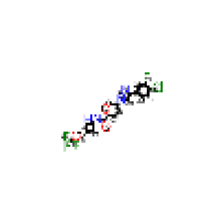 O=C(N[C@H]1C[C@@H](COC(F)(F)F)C1)[C@@H]1CC[C@@H](n2cnc(-c3ccc(Cl)c(F)c3)c2)CO1